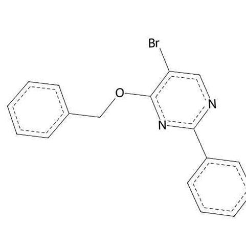 Brc1cnc(-c2ccccc2)nc1OCc1ccccc1